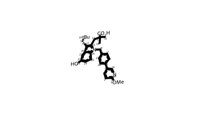 COc1ccc(-c2ccc(Cn3c(CC(C)(C)C(=O)O)c(SC(C)(C)C)c4cc(O)ccc43)cc2)cn1